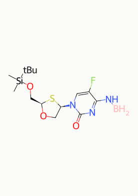 BNc1nc(=O)n([C@H]2CO[C@@H](CO[Si](C)(C)C(C)(C)C)S2)cc1F